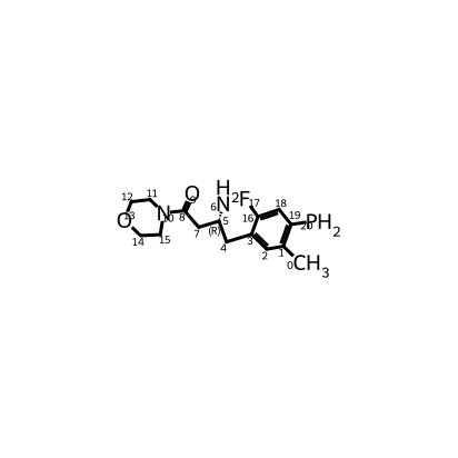 Cc1cc(C[C@@H](N)CC(=O)N2CCOCC2)c(F)cc1P